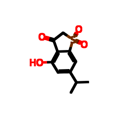 CC(C)c1cc(O)c2c(c1)S(=O)(=O)CC2=O